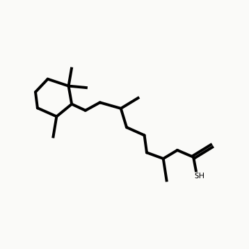 C=C(S)CC(C)CCCC(C)CCC1C(C)CCCC1(C)C